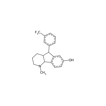 CN1CCCC2C(c3cccc(C(F)(F)F)c3)c3cc(O)ccc3C21